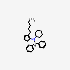 CCCCCC1=C(N(C2CCCCC2)[SiH](c2ccccc2)c2ccccc2)CC=C1